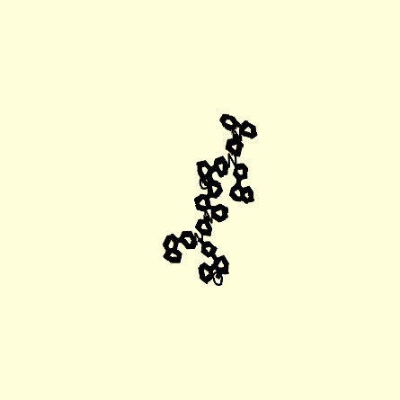 c1cc(-c2cccc3ccccc23)cc(N(c2ccc(-c3cccc4oc5c(-c6cccc7c6c6ccccc6n7-c6ccc(N(c7ccc(-c8cccc9ccccc89)cc7)c7ccc(-c8cccc9oc%10ccccc%10c89)cc7)cc6)cccc5c34)cc2)c2ccc(-n3c4ccccc4c4ccccc43)cc2)c1